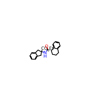 CCOC(=O)C1(NC(=O)[C@H]2CCCc3ccccc32)Cc2ccccc2C1